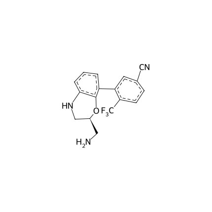 N#Cc1ccc(C(F)(F)F)c(-c2cccc3c2O[C@@H](CN)CN3)c1